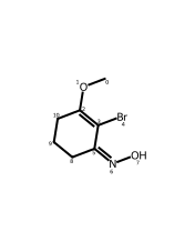 COC1=C(Br)/C(=N\O)CCC1